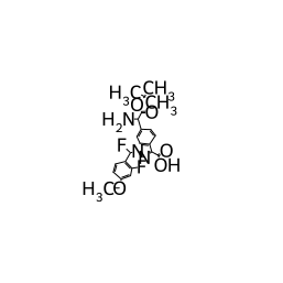 COc1ccc(C(F)n2nc(C(=O)O)c3ccc(C(N)C(=O)OC(C)(C)C)cc32)c(F)c1